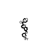 CC(C)N1CCCC(Oc2ccc3nc(C(=O)N4CCOCC4)ccc3c2)C1